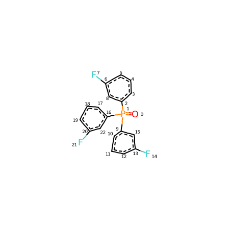 O=P(c1cccc(F)c1)(c1cccc(F)c1)c1cccc(F)c1